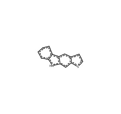 c1ccc2c(c1)[nH]c1cc3sccc3cc12